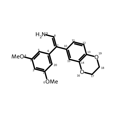 COc1cc(OC)cc(/C(=C\N)c2ccc3c(c2)OCCO3)c1